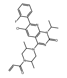 C=CC(=O)N1CC(C)N(c2nc(=O)n(C(C)C)c3nc(-c4ccccc4F)c(Cl)cc23)CC1C